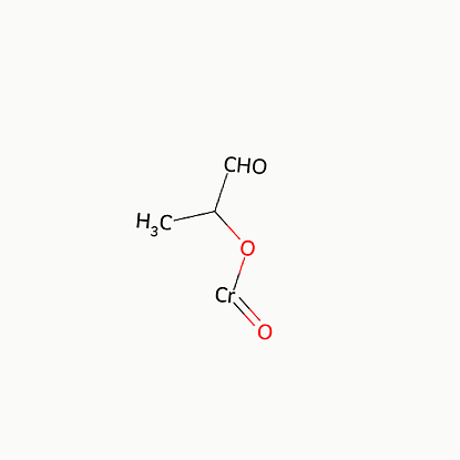 CC(C=O)[O][Cr]=[O]